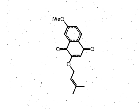 COc1ccc2c(c1)C(=O)C(OCC=C(C)C)=CC2=O